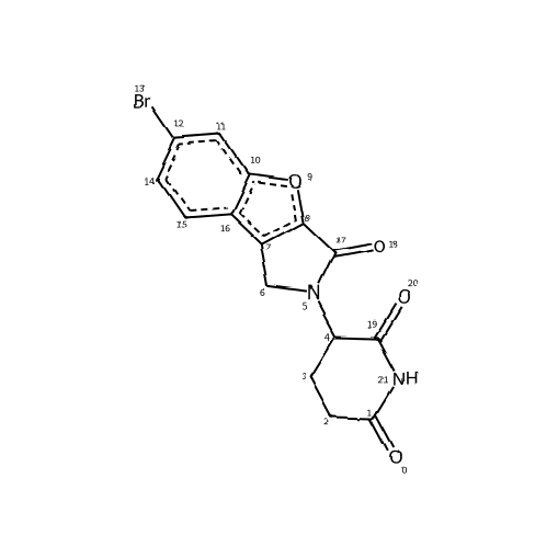 O=C1CCC(N2Cc3c(oc4cc(Br)ccc34)C2=O)C(=O)N1